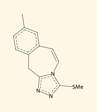 CSc1nnc2n1C=Cc1cc(C)ccc1C2